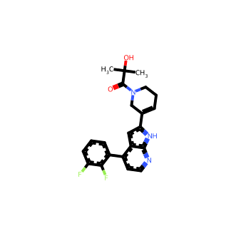 CC(C)(O)C(=O)N1CCC=C(c2cc3c(-c4cccc(F)c4F)ccnc3[nH]2)C1